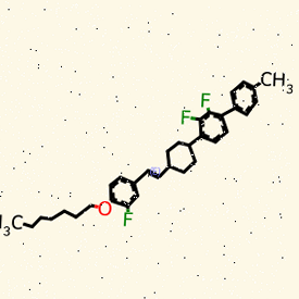 CCCCCCCOc1ccc(/C=C/C2CCC(c3ccc(-c4ccc(C)cc4)c(F)c3F)CC2)cc1F